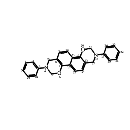 c1ccc(N2COc3c(ccc4c5c(ccc34)CN(c3ccccc3)CO5)C2)cc1